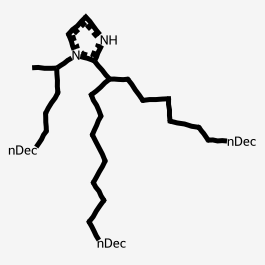 CCCCCCCCCCCCCCCCCC(CCCCCCCCCCCCCCCC)c1[nH]cc[n+]1C(C)CCCCCCCCCCCCC